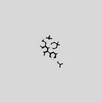 Cc1nc(C)c([C@H](OC(C)(C)C)C(=O)O)c(N2CCC(C)(C)CC2)c1-c1cnc(OCC(C)C)c(Cl)c1